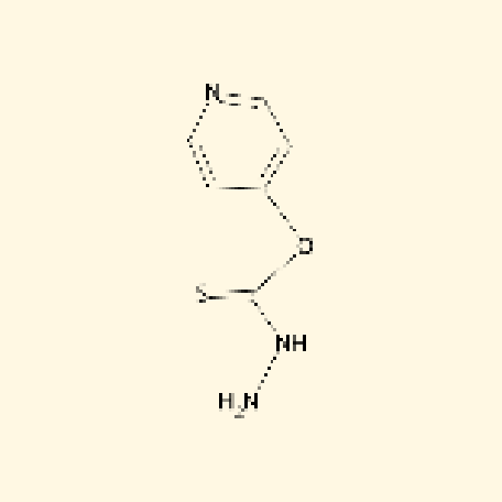 NNC(=S)Oc1ccncc1